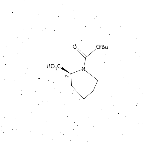 CC(C)COC(=O)N1CCCC[C@H]1C(=O)O